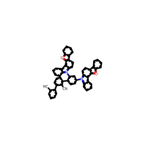 N#Cc1ccccc1-c1cccc(-c2ccc(-n3c4ccccc4c4c5oc6ccccc6c5ccc43)cc2-n2c3ccccc3c3c4oc5ccccc5c4ccc32)c1C#N